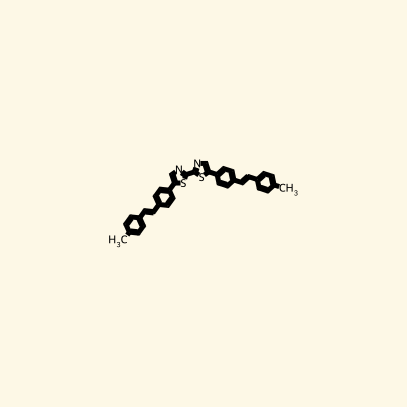 Cc1ccc(/C=C/c2ccc(-c3cnc(-c4ncc(-c5ccc(/C=C/c6ccc(C)cc6)cc5)s4)s3)cc2)cc1